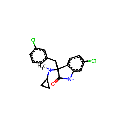 CN(C1CC1)C1(Cc2cccc(Cl)c2)C(=O)Nc2cc(Cl)ccc21